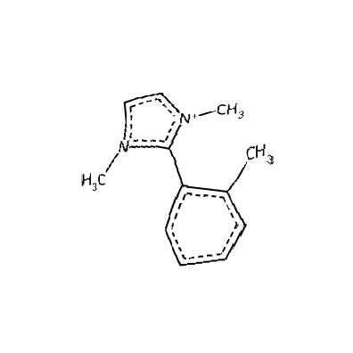 Cc1ccccc1-c1n(C)cc[n+]1C